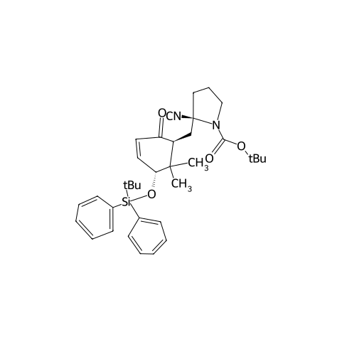 [C-]#[N+][C@@]1(C[C@@H]2C(=O)C=C[C@@H](O[Si](c3ccccc3)(c3ccccc3)C(C)(C)C)C2(C)C)CCCN1C(=O)OC(C)(C)C